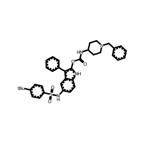 CC(C)(C)c1ccc(S(=O)(=O)Nc2ccc3[nH]c(OC(=O)NC4CCN(Cc5ccccc5)CC4)c(-c4ccccc4)c3c2)cc1